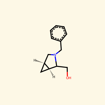 OCC1[C@H]2C[C@H]2CN1Cc1ccccc1